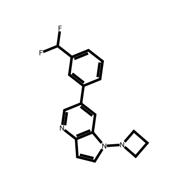 FC(F)c1cccc(-c2cnc3ccn(N4CCC4)c3c2)c1